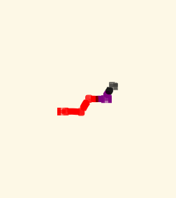 CCPOOO